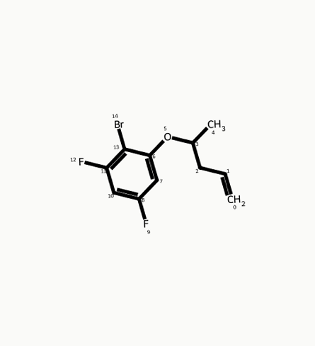 C=CCC(C)Oc1cc(F)cc(F)c1Br